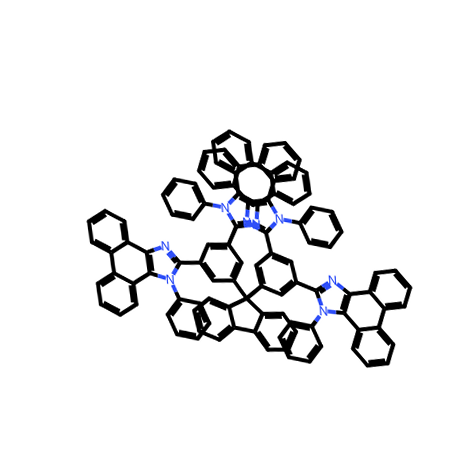 c1ccc(-n2c(-c3cc(-c4nc5c6ccccc6c6ccccc6c5n4-c4ccccc4)cc(C4(c5cc(-c6nc7c8ccccc8c8ccccc8c7n6-c6ccccc6)cc(-c6nc7c8ccccc8c8ccccc8c7n6-c6ccccc6)c5)c5ccccc5-c5ccccc54)c3)nc3c4ccccc4c4ccccc4c32)cc1